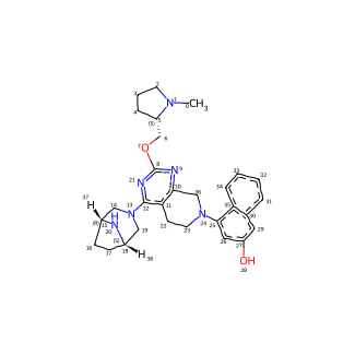 CN1CCC[C@H]1COc1nc2c(c(N3C[C@H]4CC[C@@H](C3)N4)n1)CCN(c1cc(O)cc3ccccc13)C2